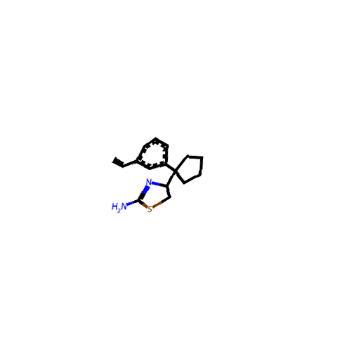 C=Cc1cccc(C2(C3CSC(N)=N3)CCCC2)c1